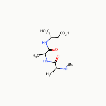 C[C@H](NC(=O)[C@H](C)NC(C)(C)C)C(=O)N[C@@H](CC(=O)O)C(=O)O